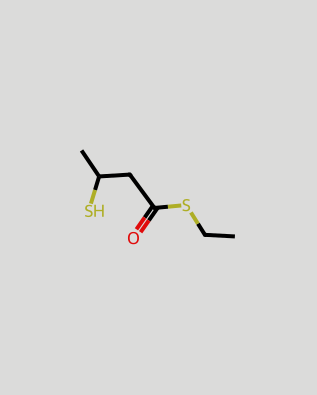 CCSC(=O)CC(C)S